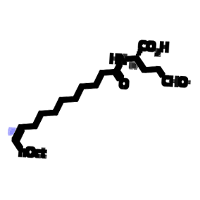 CCCCCCCC/C=C\CCCCCCCCC(=O)N[C@@H](CC[C]=O)C(=O)O